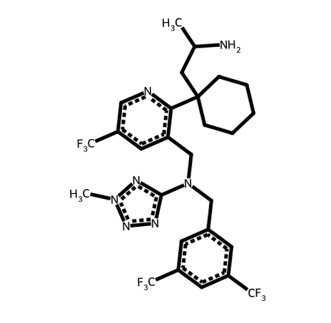 CC(N)CC1(c2ncc(C(F)(F)F)cc2CN(Cc2cc(C(F)(F)F)cc(C(F)(F)F)c2)c2nnn(C)n2)CCCCC1